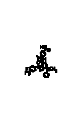 CN(c1ccccc1)c1ccc(C(=O)NC2(c3ccc(C(=O)O)cc3)CC2)c2c1ccn2Cc1ccc(C(F)(F)F)cc1